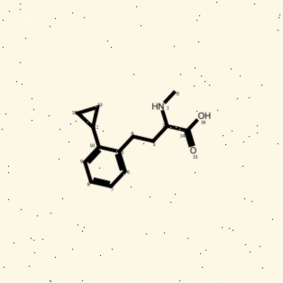 CNC(CCc1ccccc1C1CC1)C(=O)O